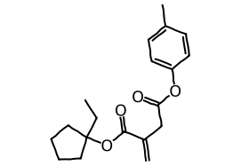 C=C(CC(=O)Oc1ccc(C)cc1)C(=O)OC1(CC)CCCC1